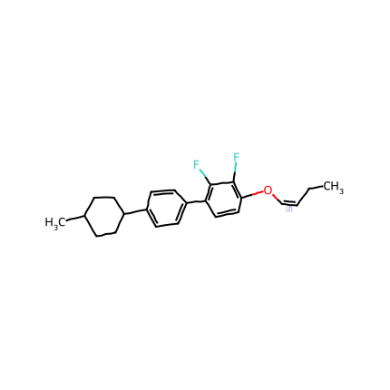 CC/C=C\Oc1ccc(-c2ccc(C3CCC(C)CC3)cc2)c(F)c1F